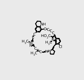 CN1C/C=N/N2CCC/C2=C\c2c(Cl)ccc3c(c(C(=O)O)n(C)c23)CCCOc2cc(cc3c2NCCC3)CCc2cc(nn2C)C1